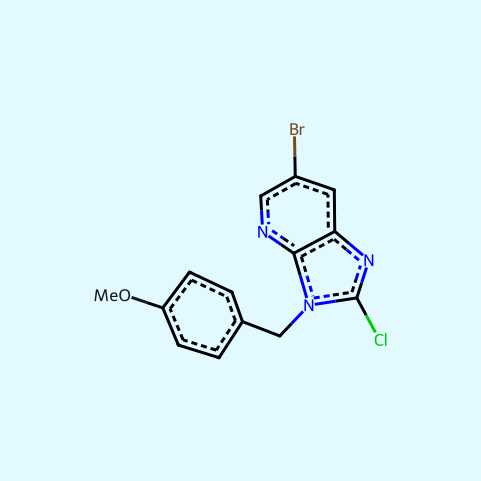 COc1ccc(Cn2c(Cl)nc3cc(Br)cnc32)cc1